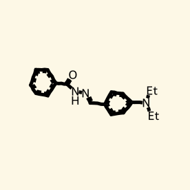 CCN(CC)c1ccc(/C=N/NC(=O)c2ccccc2)cc1